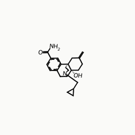 C=C1CC[C@@]2(O)C3Cc4ccc(C(N)=O)cc4[C@@]2(CCN3CC2CC2)C1